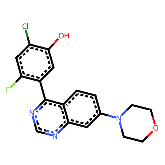 Oc1cc(-c2ncnc3cc(N4CCOCC4)ccc23)c(F)cc1Cl